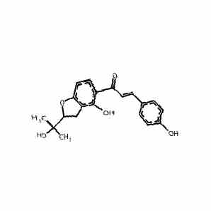 CC(C)(O)C1Cc2c(ccc(C(=O)/C=C/c3ccc(O)cc3)c2O)O1